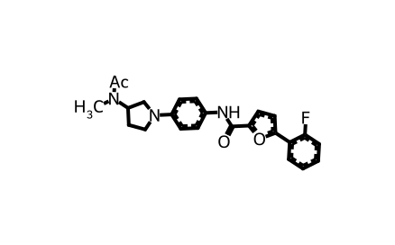 CC(=O)N(C)C1CCN(c2ccc(NC(=O)c3ccc(-c4ccccc4F)o3)cc2)C1